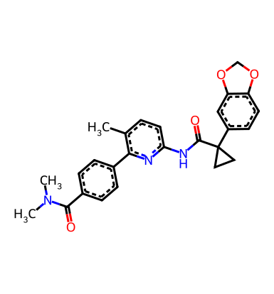 Cc1ccc(NC(=O)C2(c3ccc4c(c3)OCO4)CC2)nc1-c1ccc(C(=O)N(C)C)cc1